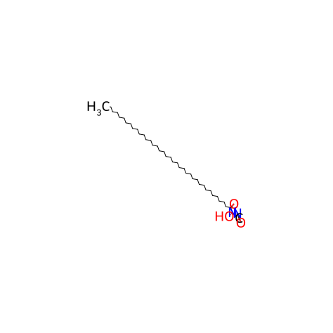 CCCCCCCCCCCCCCCCCCCCCCCCCCCCCCCCCCCCCC(=O)N(O)N=C=O